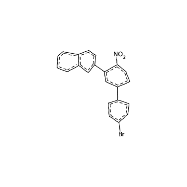 O=[N+]([O-])c1ccc(-c2ccc(Br)cc2)cc1-c1ccc2ccccc2c1